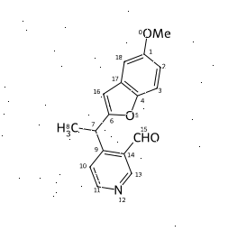 COc1ccc2oc(C(C)c3ccncc3C=O)cc2c1